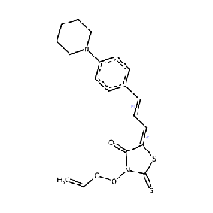 C=COON1C(=O)/C(=C\C=C\c2ccc(N3CCCCC3)cc2)SC1=S